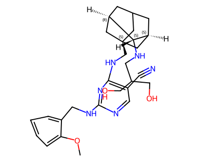 COc1ccccc1CNc1ncc(C#N)c(NC[C@]23CC4C[C@H](C2)[C@@H](NCC(CO)CO)[C@@H](C4)C3)n1